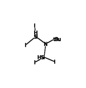 CC(C)(C)N([SiH](I)I)[SiH](I)I